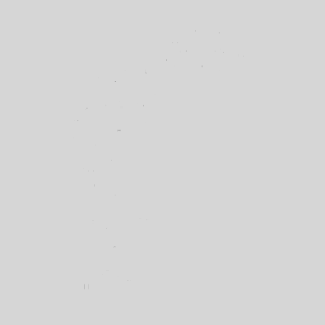 Cc1cc(OCC2(O)CCS(=O)(=O)CC2)cc(C)c1-c1cccc(COc2ccc(CCC(=O)O)c(F)c2)c1